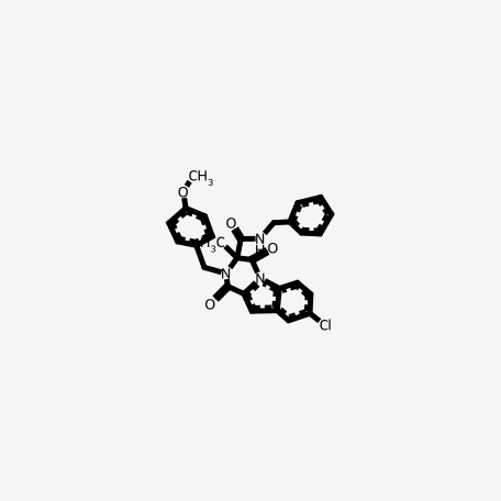 COc1ccc(CN2C(=O)c3cc4cc(Cl)ccc4n3C(=O)C2(C)C(=O)NCc2ccccc2)cc1